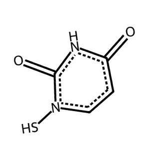 O=c1ccn(S)c(=O)[nH]1